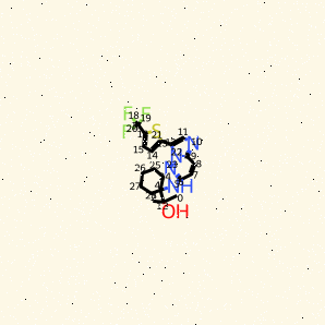 CC(C)(O)C1(Nc2ccc3ncc(-c4ccc(C(F)(F)F)s4)n3n2)CCCCC1